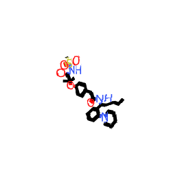 CCCCC(NC(=O)Cc1ccc(OC(C)(C)C(=O)NS(C)(=O)=O)cc1)c1ccccc1N1CCCCC1